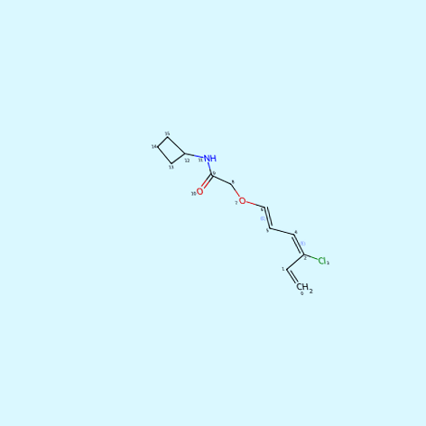 C=C/C(Cl)=C\C=C\OCC(=O)NC1CCC1